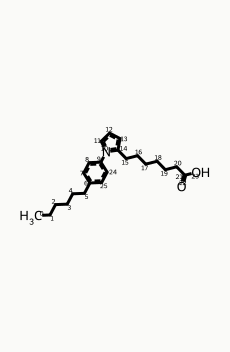 CCCCCCc1ccc(-n2cccc2CCCCCCC(=O)O)cc1